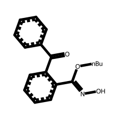 CCCCOC(=NO)c1ccccc1C(=O)c1ccccc1